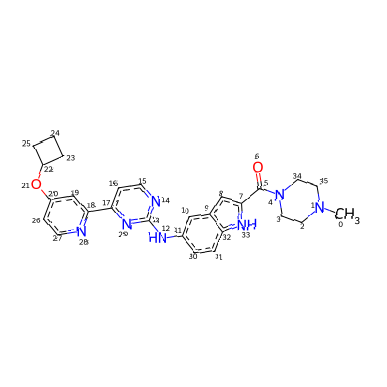 CN1CCN(C(=O)c2cc3cc(Nc4nccc(-c5cc(OC6CCC6)ccn5)n4)ccc3[nH]2)CC1